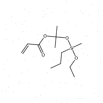 C=CC(=O)OC(C)(C)O[Si](C)(CCC)OCC